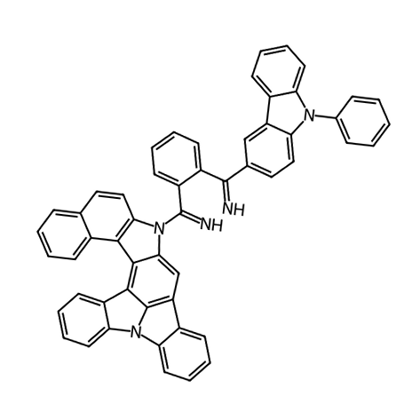 N=C(c1ccc2c(c1)c1ccccc1n2-c1ccccc1)c1ccccc1C(=N)n1c2ccc3ccccc3c2c2c3c4ccccc4n4c5ccccc5c(cc21)c34